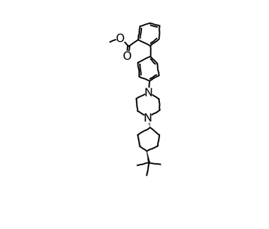 COC(=O)c1ccccc1-c1ccc(N2CCN([C@H]3CC[C@H](C(C)(C)C)CC3)CC2)cc1